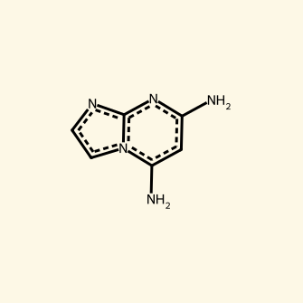 Nc1cc(N)n2ccnc2n1